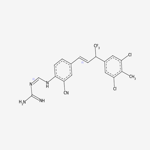 Cc1c(Cl)cc(C(/C=C/c2ccc(N/C=N\C(=N)N)c(C#N)c2)C(F)(F)F)cc1Cl